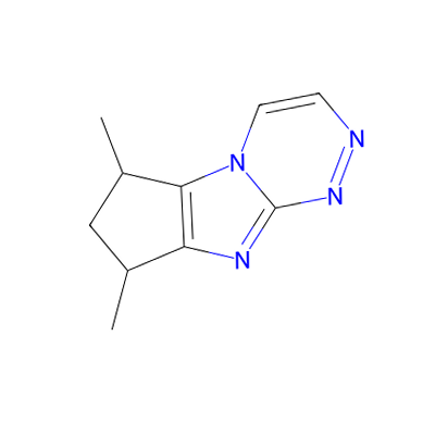 CC1CC(C)c2c1nc1nnccn21